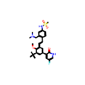 COc1c(C=Cc2ccc(NS(C)(=O)=O)cc2CN(C)C)cc(-c2cc(F)c[nH]c2=O)cc1C(C)(C)C